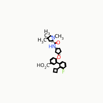 CN1CC(C)(C)C[C@H]1C(=O)N[C@@H]1CC[C@@H](Oc2ccc(C(=O)O)cc2-c2cccc(F)c2C2CCC2)C1